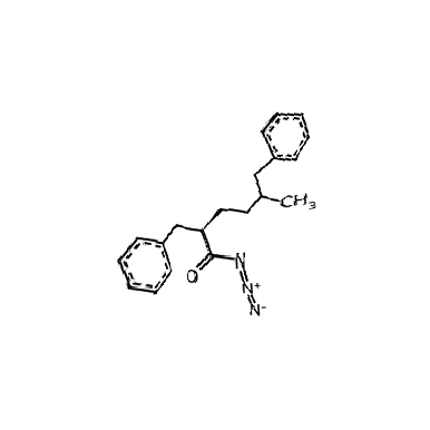 CC(CC[C@H](Cc1ccccc1)C(=O)N=[N+]=[N-])Cc1ccccc1